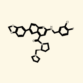 O=C(c1cc(NCc2ccc(F)c(Cl)c2)nc2ccc(-c3ccc4c(c3)OCO4)cc12)N1CCC[C@H]1CN1CCCC1